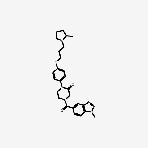 CC1CCCN1CCCOc1ccc(N2CCN(C(=O)c3ccc4c(c3)nnn4C)CC2=O)cc1